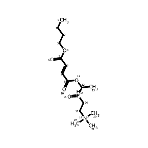 CCCCOC(=O)/C=C/C(=O)OC(C)[PH](=O)CC[N+](C)(C)C